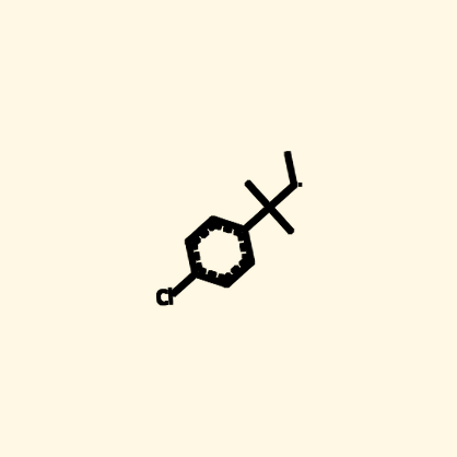 C[CH]C(C)(C)c1ccc(Cl)cc1